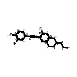 CCCC1CCc2cc(C#Cc3ccc(F)c(F)c3)c(F)cc2C1